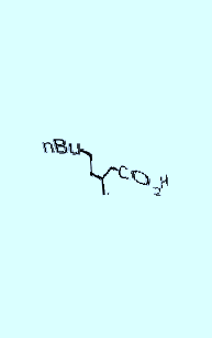 [CH2]C(CCCCCC)CC(=O)O